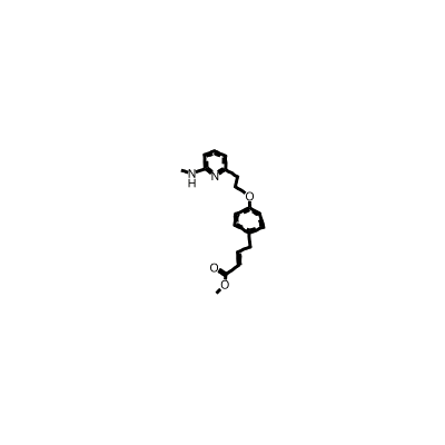 CNc1cccc(CCOc2ccc(CC=CC(=O)OC)cc2)n1